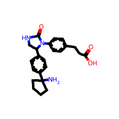 NC1(c2ccc(C3CNC(=O)N3c3ccc(CCC(=O)O)cc3)cc2)CCCC1